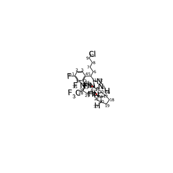 Fc1ccc(C(CCCCCl)c2nnc(NC3[C@@H]4CC[C@H]3CN(c3ccnc(C(F)(F)F)c3)C4)[nH]2)c(F)c1F